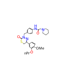 CCCOc1cc(C2=NN(Cc3ccc(NC(=O)CN4CCCCC4)cc3)C(=O)SC2)ccc1OC